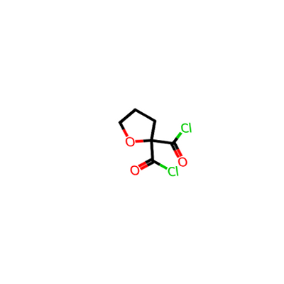 O=C(Cl)C1(C(=O)Cl)CCCO1